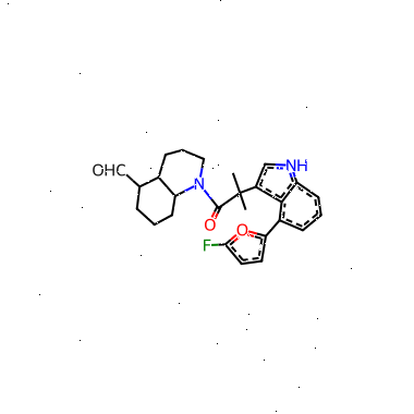 CC(C)(C(=O)N1CCCC2C(C=O)CCCC21)c1c[nH]c2cccc(-c3ccc(F)o3)c12